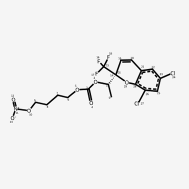 CC(OC(=O)OCCCCO[N+](=O)[O-])[C@]1(C(F)(F)F)C=Cc2cc(Cl)cc(Cl)c2O1